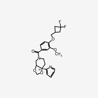 COc1cc(C(=O)N2CC[C@]3(c4ccccn4)OCOC3C2)ccc1OCC1CC(F)(F)C1